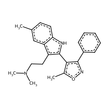 Cc1ccc2[nH]c(-c3c(-c4ccccc4)noc3C)c(CCN(C)C)c2c1